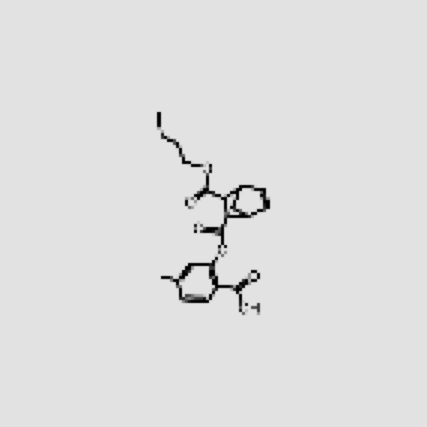 CCCCOC(=O)C1C2C=CC(C2)C1C(=O)Oc1cc(I)ccc1C(=O)O